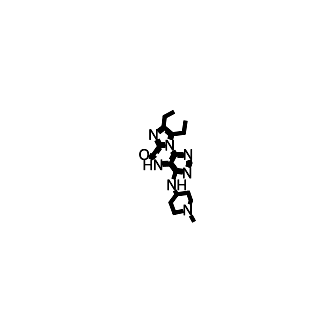 CCc1nc2c(=O)[nH]c3c(NC4CCN(C)CC4)ncnc3n2c1CC